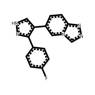 Fc1ccc(-c2n[nH]cc2-c2ccc3nncn3c2)cc1